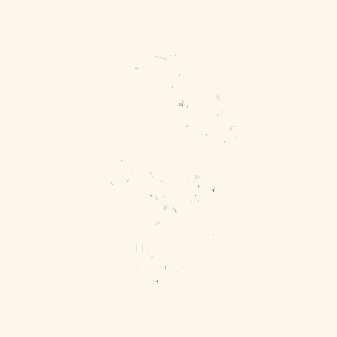 CC(C)CN(C[C@@H](O)[C@H](Cc1ccccc1)NC(=O)OC1CO[C@H]2OCC[C@@H]12)S(=O)(=O)c1ccc2oc(Br)c(CNCc3ccccc3)c2c1